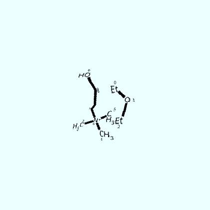 CCOCC.C[N+](C)(C)CCO